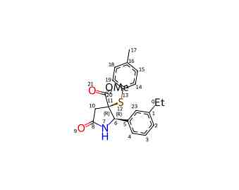 CCc1cccc([C@H]2NC(=O)C[C@]2(Sc2ccc(C)cc2)C(=O)OC)c1